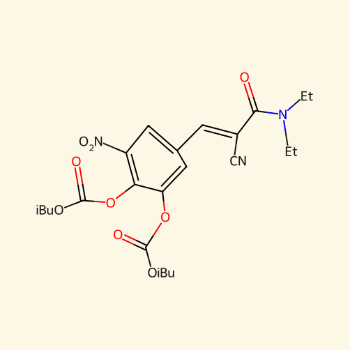 CCN(CC)C(=O)/C(C#N)=C/c1cc(OC(=O)OCC(C)C)c(OC(=O)OCC(C)C)c([N+](=O)[O-])c1